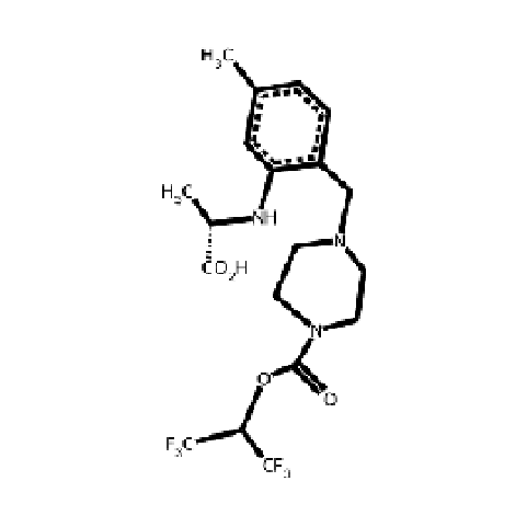 Cc1ccc(CN2CCN(C(=O)OC(C(F)(F)F)C(F)(F)F)CC2)c(N[C@@H](C)C(=O)O)c1